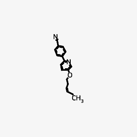 CC/C=C\CCOc1ccc(-c2ccc(C#N)cc2)nc1